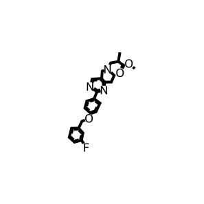 COC(=O)C(C)CN1CCc2nc(-c3ccc(OCc4cccc(F)c4)cc3)ncc2C1